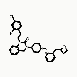 O=C1N(CCc2ccc(Cl)cc2F)c2ccccc2CN1C1CCN(C[C@H]2C=CC=CC2CC2CCO2)CC1